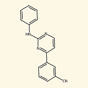 N#Cc1cccc(-c2ccnc(Nc3ccccc3)n2)c1